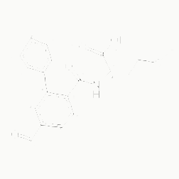 CSCC[C@H](NC(=O)c1ccc(C=O)cc1-c1ccccc1)C(=O)O